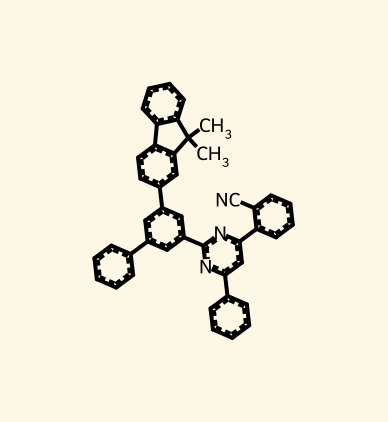 CC1(C)c2ccccc2-c2ccc(-c3cc(-c4ccccc4)cc(-c4nc(-c5ccccc5)cc(-c5ccccc5C#N)n4)c3)cc21